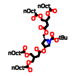 CCCCCCCCC(=O)OCC(COC(=O)CCCCCCCC)CC(=O)OC[C@H]1C[C@H](OC(=O)CC(COC(=O)CCCCCCCC)COC(=O)CCCCCCCC)CN1C(=O)OC(C)(C)C